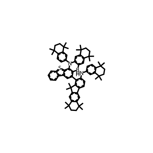 CC1(C)CCC(C)(C)c2cc(Nc3ccc4c(c3-c3cc5c(sc6ccccc65)c5c3Bc3cc6c(cc3N5c3ccc5c(c3)C(C)(C)CCC5(C)C)C(C)(C)CCC6(C)C)C(C)(C)c3cc5c(cc3-4)C(C)(C)CCC5(C)C)ccc21